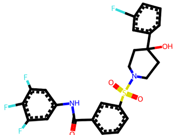 O=C(Nc1cc(F)c(F)c(F)c1)c1cccc(S(=O)(=O)N2CCC(O)(c3cccc(F)c3)CC2)c1